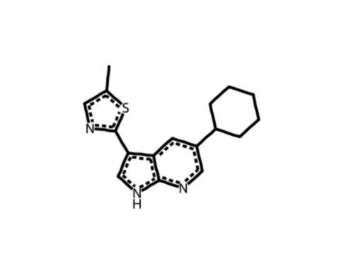 Cc1cnc(-c2c[nH]c3ncc(C4CCCCC4)cc23)s1